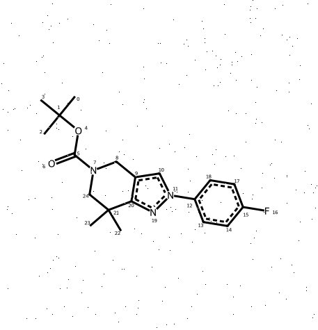 CC(C)(C)OC(=O)N1Cc2cn(-c3ccc(F)cc3)nc2C(C)(C)C1